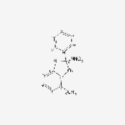 Cc1cccc2c1OC(c1ccccc1)([N+](=O)[O-])C2